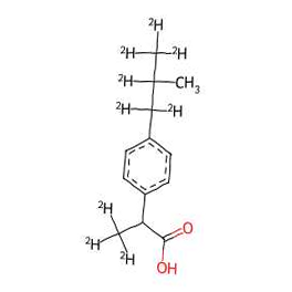 [2H]C([2H])([2H])C(C(=O)O)c1ccc(C([2H])([2H])C([2H])(C)C([2H])([2H])[2H])cc1